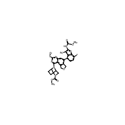 CCSc1nc(N2C3CCC34C2CN4C(=O)OC(C)(C)C)c2c3c(c(-c4ccc(F)c5sc(NC(=O)OC(C)(C)C)c(C#N)c45)cc2n1)COC3